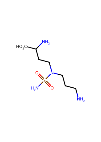 NCCCN(CCC(N)C(=O)O)S(N)(=O)=O